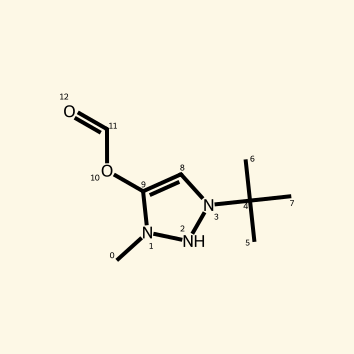 CN1NN(C(C)(C)C)C=C1OC=O